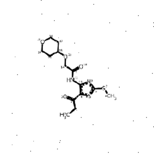 CCC(=O)c1sc(SC)nc1NC(=O)COC1CCOCC1